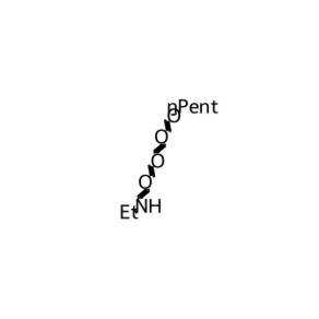 CCCCCOCCOCCOCCOCCNCC